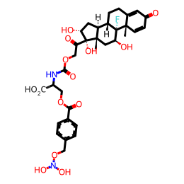 C[C@]12C=CC(=O)C=C1CC[C@H]1[C@@H]3C[C@@H](O)[C@](O)(C(=O)COC(=O)NC(COC(=O)c4ccc(CON(O)O)cc4)C(=O)O)[C@@]3(C)C[C@H](O)[C@@]12F